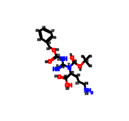 CC(C)(C)OC(=O)N(C(=N)NC(=O)OCc1ccccc1)[C@@H](CCCN)C(=O)O